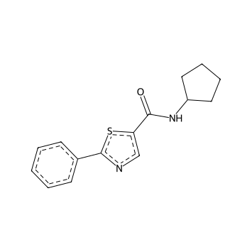 O=C(NC1CCCC1)c1cnc(-c2ccccc2)s1